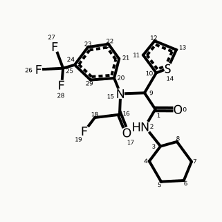 O=C(NC1CCCCC1)C(c1cccs1)N(C(=O)CF)c1cccc(C(F)(F)F)c1